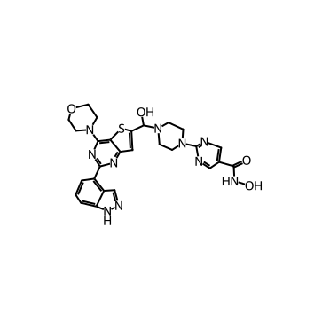 O=C(NO)c1cnc(N2CCN(C(O)c3cc4nc(-c5cccc6[nH]ncc56)nc(N5CCOCC5)c4s3)CC2)nc1